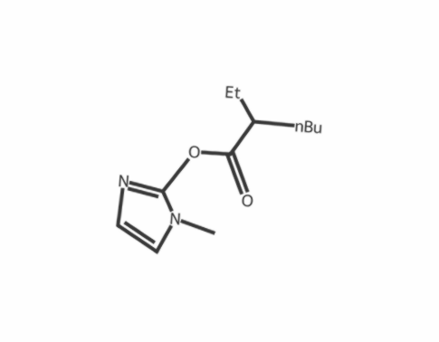 CCCCC(CC)C(=O)Oc1nccn1C